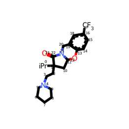 CC(C)C1(CCN2CCCCC2)CC2Oc3ccc(C(F)(F)F)cc3CN2C1=O